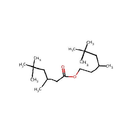 CC(CCOC(=O)CC(C)CC(C)(C)C)CC(C)(C)C